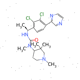 C[C@H](NC(=O)N(C)C1CCN(C)CC1(C)C)c1ccc(-c2cnccn2)c(Cl)c1Cl